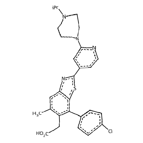 Cc1cc2nc(-c3ccnc(N4CCN(C(C)C)CC4)c3)sc2c(-c2ccc(Cl)cc2)c1CC(=O)O